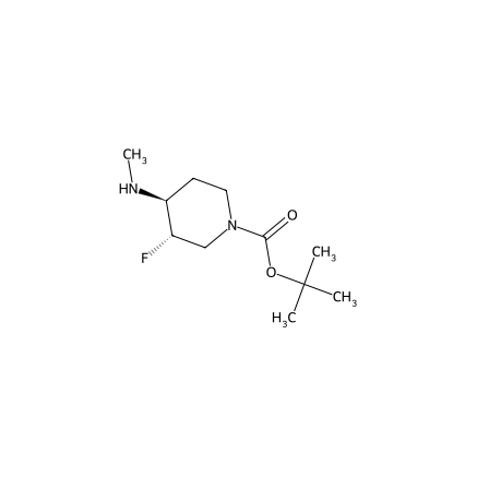 CN[C@H]1CCN(C(=O)OC(C)(C)C)C[C@@H]1F